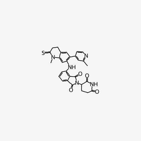 Cc1cc(-c2cc3c(cc2Nc2cccc4c2C(=O)N(C2CCC(=O)NC2=O)C4=O)N(C)C(=S)CC3)ccn1